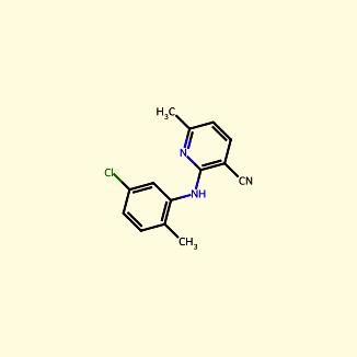 Cc1ccc(C#N)c(Nc2cc(Cl)ccc2C)n1